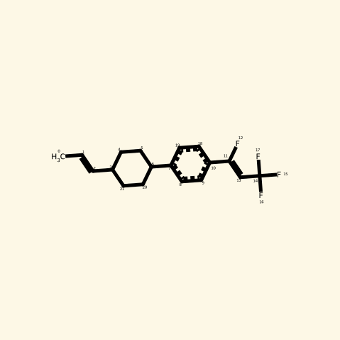 C/C=C/C1CCC(c2ccc(/C(F)=C/C(F)(F)F)cc2)CC1